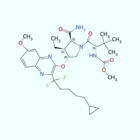 CC[C@@H]1[C@@H](Oc2nc3cc(OC)ccc3nc2C(F)(F)CCCCC2CC2)CN(C(=O)[C@@H](NC(=O)OC)C(C)(C)C)[C@@H]1C(N)=O